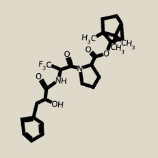 CC1(C)C2CCC1(C)C(OC(=O)C1CCCN1C(=O)C(NC(=O)C(O)Cc1ccccc1)C(F)(F)F)C2